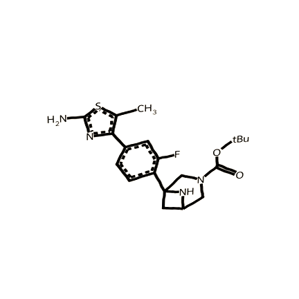 Cc1sc(N)nc1-c1ccc(C23CC(CN(C(=O)OC(C)(C)C)C2)N3)c(F)c1